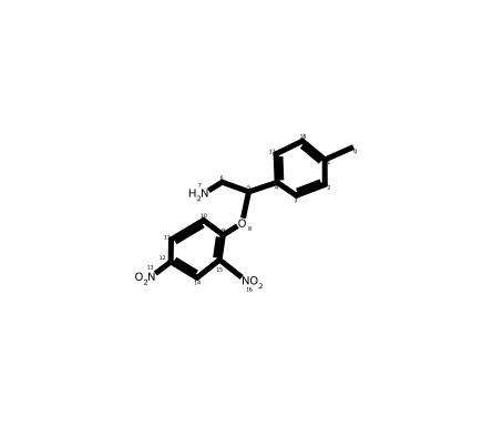 Cc1ccc(C(CN)Oc2ccc([N+](=O)[O-])cc2[N+](=O)[O-])cc1